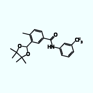 Cc1ccc(C(=O)Nc2cccc(C(F)(F)F)c2)cc1C1OC(C)(C)C(C)(C)O1